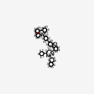 C1=C(c2ccccc2)N=C(C2C=c3ccccc3=CC2)N=C(c2cccc3oc4cc(-c5ccc(N(c6ccccc6)c6ccccc6-c6ccccc6)cc5)ccc4c23)C1